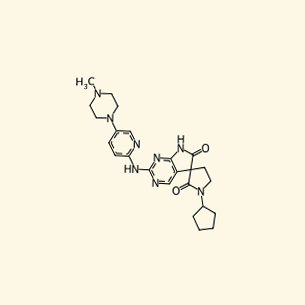 CN1CCN(c2ccc(Nc3ncc4c(n3)NC(=O)C43CCN(C4CCCC4)C3=O)nc2)CC1